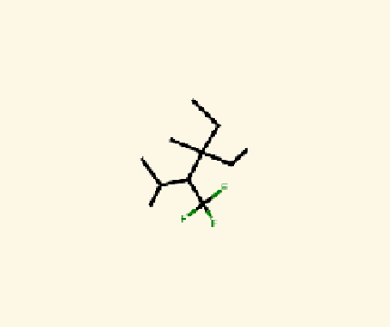 CCC(C)(CC)C(C(C)C)C(F)(F)F